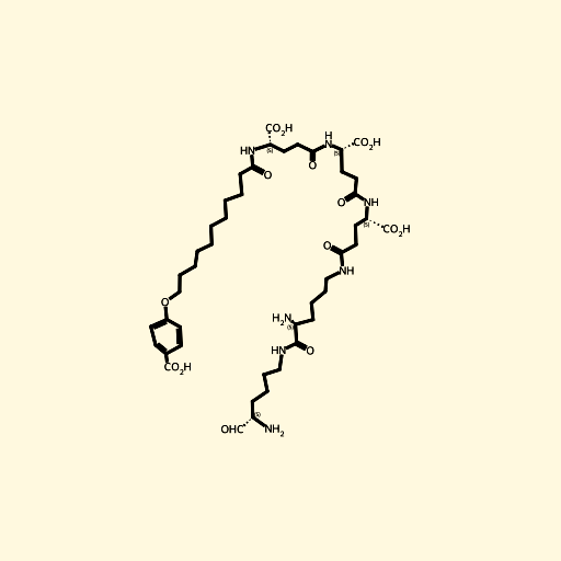 N[C@H](C=O)CCCCNC(=O)[C@@H](N)CCCCNC(=O)CC[C@H](NC(=O)CC[C@H](NC(=O)CC[C@H](NC(=O)CCCCCCCCCCOc1ccc(C(=O)O)cc1)C(=O)O)C(=O)O)C(=O)O